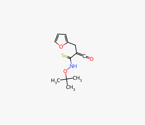 CC(C)(C)ONC(=S)C(=C=O)Cc1ccco1